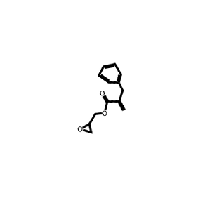 C=C(Cc1ccccc1)C(=O)OCC1CO1